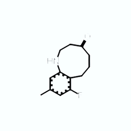 Cc1cc(F)c2c(c1)NCCC(=O)CCC2